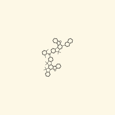 Cc1cccc(C)c1N(c1ccc2c(c1)C(C)(C)c1cc(-c3ccc4ccccc4c3)c3oc4ccccc4c3c1-2)c1ccc2c(c1)C(C)(C)c1c3c(c4oc5ccccc5c4c1-2)-c1ccccc1C3(C)C